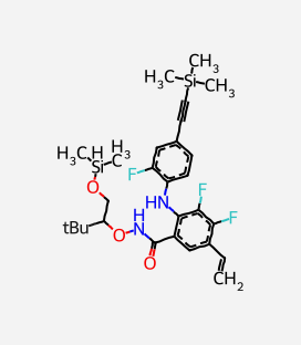 C=Cc1cc(C(=O)NOC(CO[SiH](C)C)C(C)(C)C)c(Nc2ccc(C#C[Si](C)(C)C)cc2F)c(F)c1F